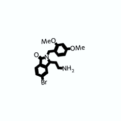 COc1ccc(CN2C(=O)c3ccc(Br)cc3C2CCN)c(OC)c1